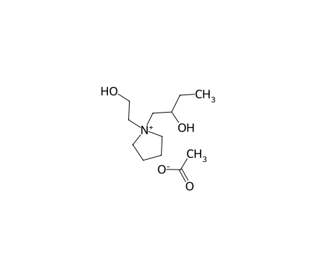 CC(=O)[O-].CCC(O)C[N+]1(CCO)CCCC1